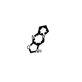 c1cc2nc3c(cn2c1)NCO3